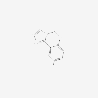 Fc1ccc2c(c1)-c1nccn1CO2